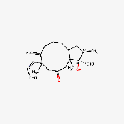 C=C1CCCC2C[C@@H](C)[C@](O)(C=O)C2(C)CC(=O)CC1(C)/C=C\C=O